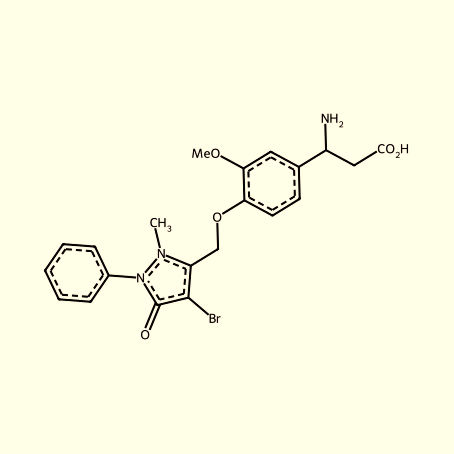 COc1cc(C(N)CC(=O)O)ccc1OCc1c(Br)c(=O)n(-c2ccccc2)n1C